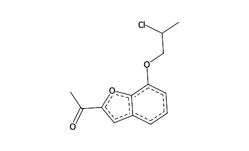 CC(=O)c1cc2cccc(OCC(C)Cl)c2o1